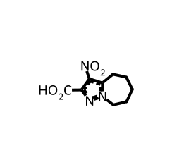 O=C(O)c1nn2c(c1[N+](=O)[O-])CCCCC2